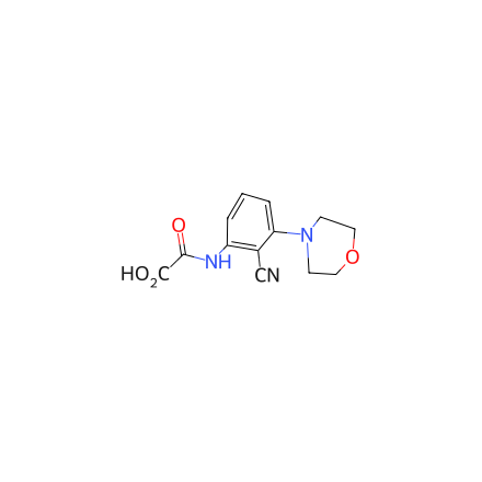 N#Cc1c(NC(=O)C(=O)O)cccc1N1CCOCC1